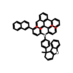 CC1(c2ccc(N(c3ccc(-c4ccc5ccccc5c4)cc3)c3ccccc3-c3cccc4cccc(-c5ccccc5)c34)cc2)CC=Cc2oc3ccccc3c21